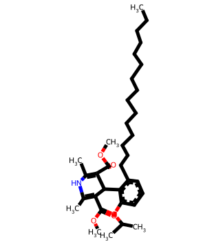 CCCCCCCCCCCCCCCc1cccc(OC(C)C)c1C1C(C(=O)OC)=C(C)NC(C)=C1C(=O)OC